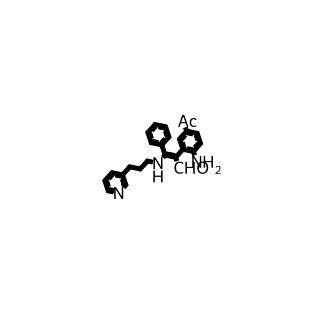 CC(=O)c1ccc(N)c(/C(C=O)=C(/NCCCc2cccnc2)c2ccccc2)c1